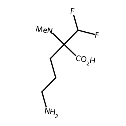 CNC(CCCN)(C(=O)O)C(F)F